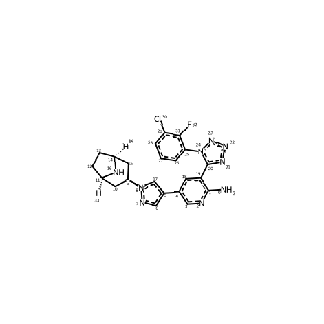 Nc1ncc(-c2cnn([C@H]3C[C@H]4CC[C@@H](C3)N4)c2)cc1-c1nnnn1-c1cccc(Cl)c1F